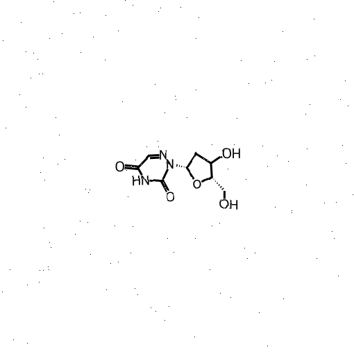 O=c1cnn([C@@H]2CC(O)[C@H](CO)O2)c(=O)[nH]1